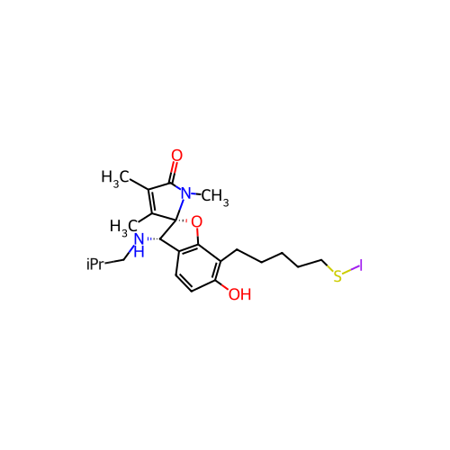 CC1=C(C)[C@@]2(Oc3c(ccc(O)c3CCCCCSI)[C@@H]2NCC(C)C)N(C)C1=O